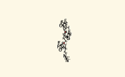 [N-]=[N+]=NCCCN(CCCCN(CCCNC(=O)C(F)(F)F)C(=O)C(F)(F)F)C(=O)C(F)(F)F